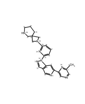 Cc1cncc(-c2cc3c(cn2)cnn3-c2cccc(N3CC4(CCCNC4)C3)n2)n1